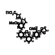 CCOC(=O)C1CN([C@@H]2CCc3cc(-c4cccc(-c5cccc(-c6cnc(C7OCCO7)c(OC)n6)c5Cl)c4Cl)nc(OC)c32)C1